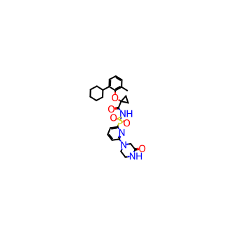 Cc1cccc(C2CCCCC2)c1OC1(C(=O)NS(=O)(=O)c2cccc(N3CCNC(=O)C3)n2)CC1